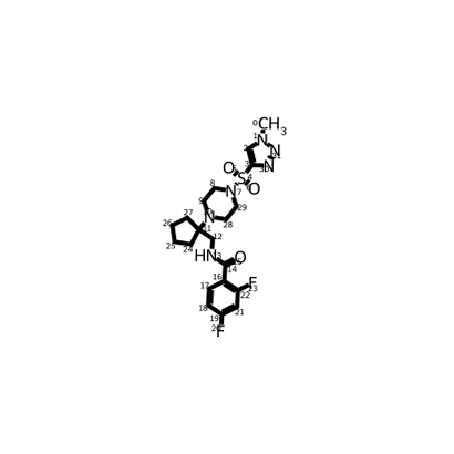 Cn1cc(S(=O)(=O)N2CCN(C3(CNC(=O)c4ccc(F)cc4F)CCCC3)CC2)nn1